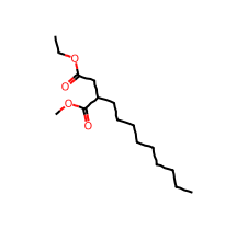 CCCCCCCCCC(CC(=O)OCC)C(=O)OC